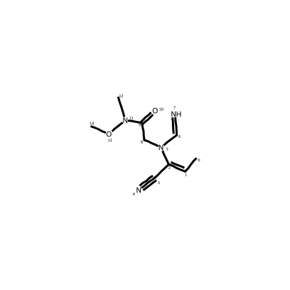 C/C=C(/C#N)N(C=N)CC(=O)N(C)OC